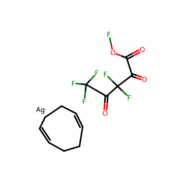 C1=C\CC/C=C\CC/1.O=C(OF)C(=O)C(F)(F)C(=O)C(F)(F)F.[Ag]